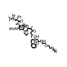 CC[C@H](C)[C@@H]([C@@H](CC(=O)N1CCC[C@H]1[C@H](OC)[C@@H](C)C(=O)CCC[C@@H](Cc1ccccc1)P(=O)(O)CC(=O)NCCOCCN=[N+]=[N-])NC)N(C)C(=O)[C@@H](N=C(N(C)C)N(C)C)C(C)C